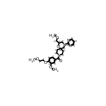 COCCOc1ccc(C(=O)N2CCC3(CC2)CN(c2ncccn2)CC(COC)O3)cc1OC